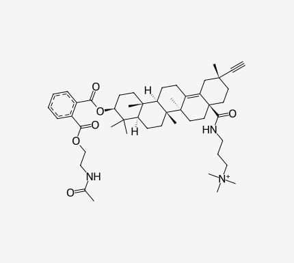 C#C[C@]1(C)CC[C@]2(C(=O)NCCC[N+](C)(C)C)CC[C@]3(C)C(=C2C1)CC[C@@H]1[C@@]2(C)CC[C@H](OC(=O)c4ccccc4C(=O)OCCNC(C)=O)C(C)(C)[C@@H]2CC[C@]13C